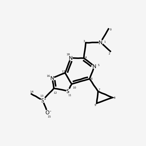 CN(C)Cc1nc(C2CC2)c2sc([S+](C)[O-])nc2n1